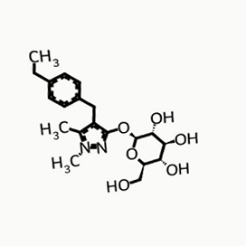 CCc1ccc(Cc2c(O[C@@H]3O[C@H](CO)[C@@H](O)[C@H](O)[C@H]3O)nn(C)c2C)cc1